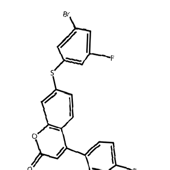 O=c1cc(-c2ccc(F)cc2)c2ccc(Sc3cc(F)cc(Br)c3)cc2o1